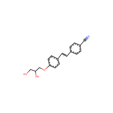 N#Cc1ccc(/C=C/c2ccc(OCC(O)CO)cc2)cc1